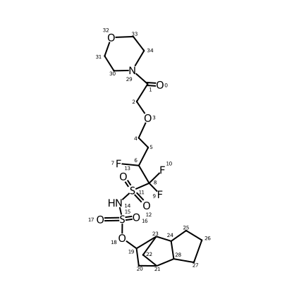 O=C(COCCC(F)C(F)(F)S(=O)(=O)NS(=O)(=O)OC1CC2CC1C1CCCC21)N1CCOCC1